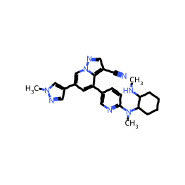 CNC1CCCCC1N(C)c1ccc(-c2cc(-c3cnn(C)c3)cn3ncc(C#N)c23)cn1